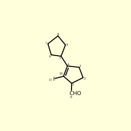 O=CC1CCC(C2CCCC2)=C1I